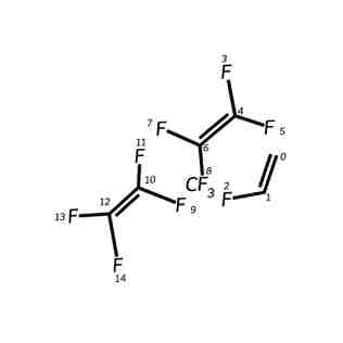 C=CF.FC(F)=C(F)C(F)(F)F.FC(F)=C(F)F